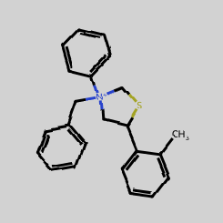 Cc1ccccc1C1C[N+](Cc2ccccc2)(c2ccccc2)CS1